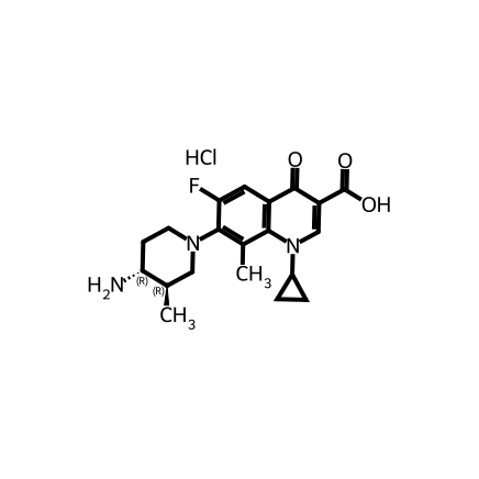 Cc1c(N2CC[C@@H](N)[C@H](C)C2)c(F)cc2c(=O)c(C(=O)O)cn(C3CC3)c12.Cl